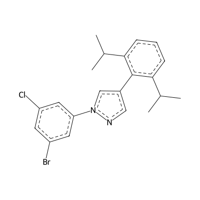 CC(C)c1cccc(C(C)C)c1-c1cnn(-c2cc(Cl)cc(Br)c2)c1